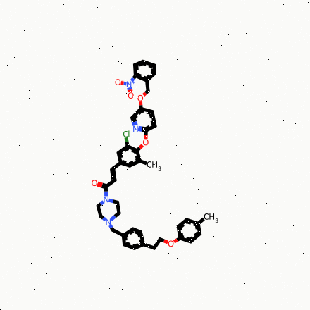 Cc1ccc(OCCc2ccc(CN3CCN(C(=O)C=Cc4cc(C)c(Oc5ccc(OCc6ccccc6[N+](=O)[O-])cn5)c(Cl)c4)CC3)cc2)cc1